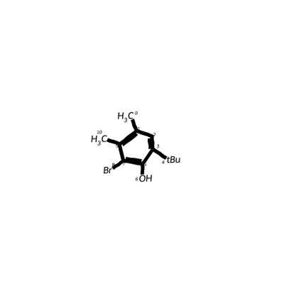 Cc1cc(C(C)(C)C)c(O)c(Br)c1C